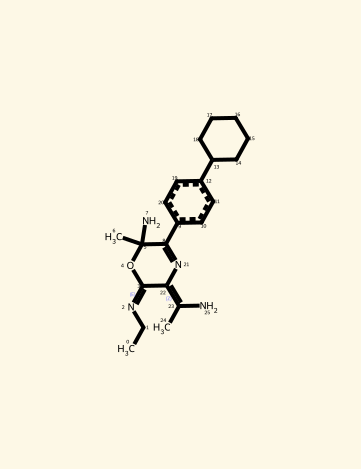 CC/N=C1/OC(C)(N)C(c2ccc(C3CCCCC3)cc2)=N/C1=C(/C)N